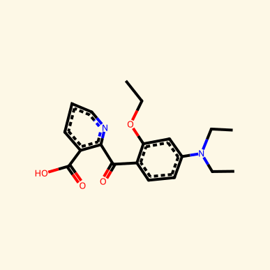 CCOc1cc(N(CC)CC)ccc1C(=O)c1ncccc1C(=O)O